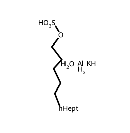 CCCCCCCCCCCCOS(=O)(=O)O.O.[AlH3].[KH]